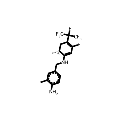 Cc1cc(CNC2=CC(F)=C(C(F)(C(F)(F)F)C(F)(F)F)C[C@H]2C)ccc1N